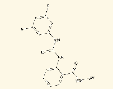 CCCNC(=O)c1ccccc1NC(=O)Nc1cc(F)cc(F)c1